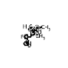 CCOC(=O)c1c(OC(C)=O)c2ncc(Cc3ccc(F)cc3CN3CCCCS3(=O)=O)cc2n(C)c1=O